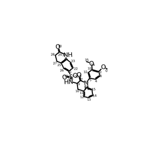 COc1ccc(NC(=O)C(Cc2ccccc2)NS(=O)(=O)c2ccc3c(c2)CCC(=O)N3)cc1OC